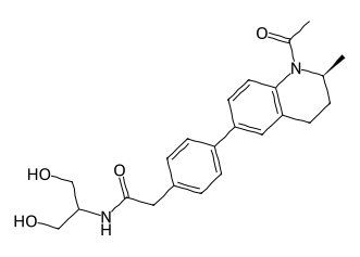 CC(=O)N1c2ccc(-c3ccc(CC(=O)NC(CO)CO)cc3)cc2CC[C@@H]1C